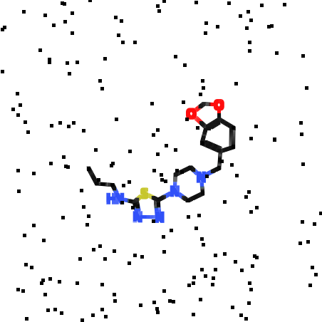 CCCNc1nnc(N2CCN(Cc3ccc4c(c3)OCO4)CC2)s1